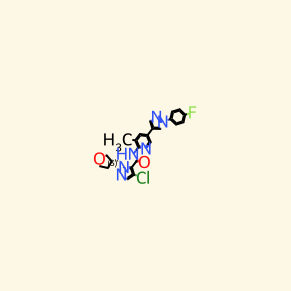 Cc1cc(-c2cnn(-c3ccc(F)cc3)c2)cnc1NC(=O)c1c(Cl)cnn1C[C@@H]1CCOC1